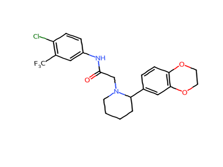 O=C(CN1CCCCC1c1ccc2c(c1)OCCO2)Nc1ccc(Cl)c(C(F)(F)F)c1